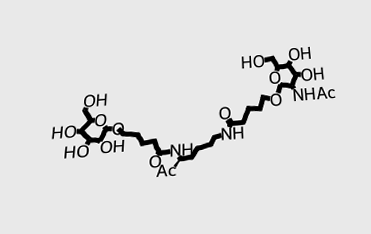 CC(=O)NC1C(OCCCCC(=O)NCCCC[C@H](NC(=O)CCCCOC2OC(CO)C(O)C(O)C2O)C(C)=O)OC(CO)C(O)C1O